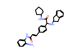 Nc1ccccc1NC(=O)/C=C/c1ccc(C(NC2Cc3ccccc3C2)C(=O)NC2CCCCC2)cc1